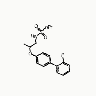 CCCS(=O)(=O)NCC(C)Oc1ccc(-c2ccccc2F)cc1